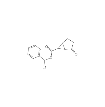 CCC(OC(=O)C1C2CCC(=O)C21)c1ccccc1